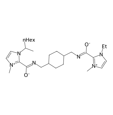 CCCCCCC(C)n1cc[n+](C)c1/C([O-])=N/CC1CCC(C/N=C(\[O-])c2n(CC)cc[n+]2C)CC1